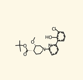 CO[C@@H]1CN(c2cccc(-c3cccc(Cl)c3O)n2)CC[C@@H]1C(=O)OC(C)(C)C